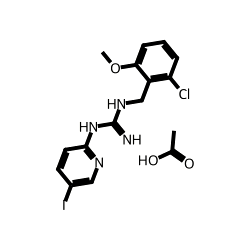 CC(=O)O.COc1cccc(Cl)c1CNC(=N)Nc1ccc(I)cn1